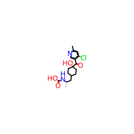 Cc1cc(Cl)c(C(=O)C2(O)CCC(C[C@H](C)NC(=O)O)CC2)cn1